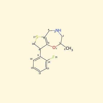 CC1CNCC2=C(O1)C(c1ccccc1F)CS2